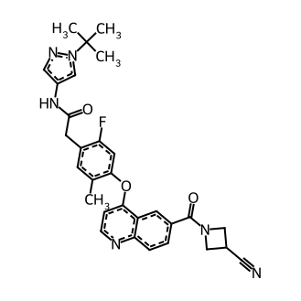 Cc1cc(CC(=O)Nc2cnn(C(C)(C)C)c2)c(F)cc1Oc1ccnc2ccc(C(=O)N3CC(C#N)C3)cc12